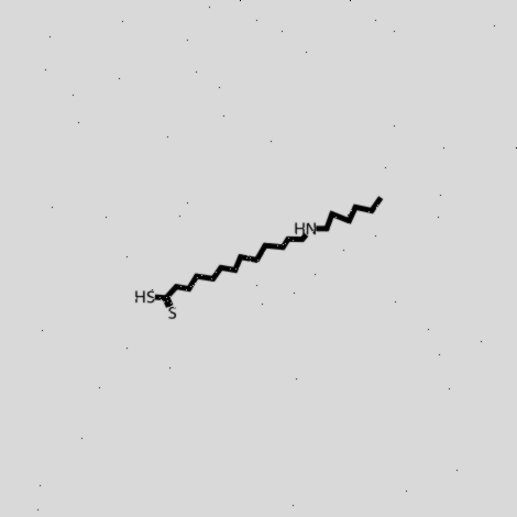 CCCCCCNCCCCCCCCCCCCC(=S)S